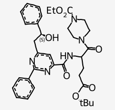 CCOC(=O)N1CCN(C(=O)C(CCC(=O)OC(C)(C)C)NC(=O)c2cc(C[C@H](O)c3ccccc3)nc(-c3ccccc3)n2)CC1